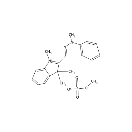 CN(N=CC1=[N+](C)c2ccccc2C1(C)C)c1ccccc1.COS(=O)(=O)[O-]